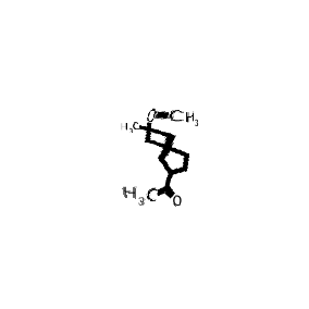 COC1(C)CC2(CCC(C(C)=O)C2)C1